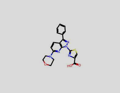 O=C(O)c1csc(-n2nc(-c3ccccc3)c3ccc(N4CCOCC4)nc32)n1